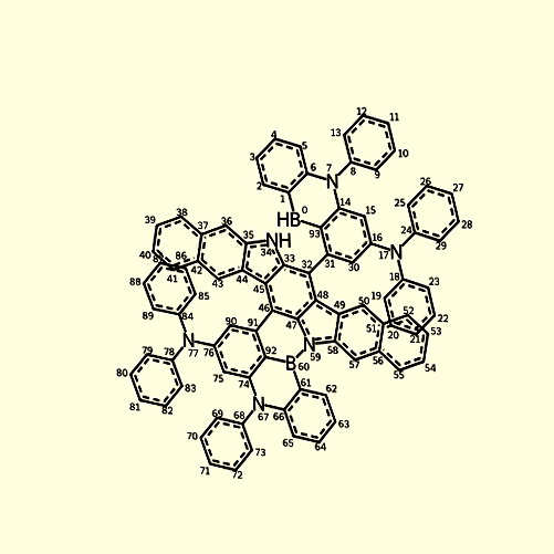 B1c2ccccc2N(c2ccccc2)c2cc(N(c3ccccc3)c3ccccc3)cc(-c3c4[nH]c5cc6ccccc6cc5c4c4c5c3c3cc6ccccc6cc3n5B3c5ccccc5N(c5ccccc5)c5cc(N(c6ccccc6)c6ccccc6)cc-4c53)c21